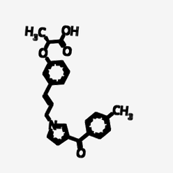 Cc1ccc(C(=O)c2ccn(C/C=C/c3cccc(O[C@@H](C)C(=O)O)c3)c2)cc1